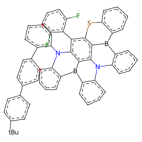 CC(C)(C)c1ccc(-c2ccc(-c3ccccc3N3c4ccccc4B4c5ccccc5N5c6ccccc6B6c7ccccc7Sc7c6c5c4c3c7-c3c(F)cccc3F)cc2)cc1